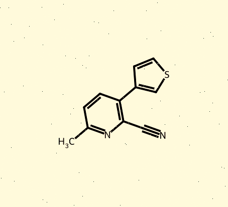 Cc1ccc(-c2ccsc2)c(C#N)n1